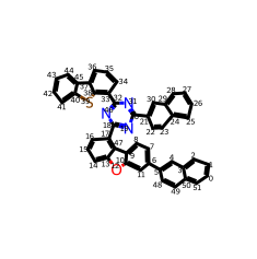 c1ccc2cc(-c3ccc4c(c3)oc3cccc(-c5nc(-c6ccc7ccccc7c6)nc(-c6cccc7c6sc6ccccc67)n5)c34)ccc2c1